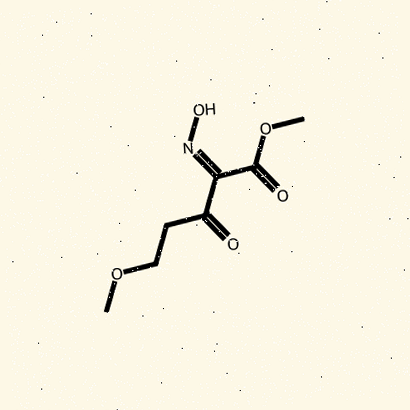 COCCC(=O)C(=NO)C(=O)OC